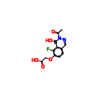 CC(=O)N1N=Cc2ccc(OCC(=O)O)c(F)c2B1O